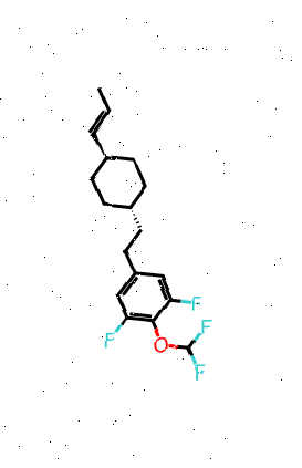 C/C=C/[C@H]1CC[C@H](CCc2cc(F)c(OC(F)F)c(F)c2)CC1